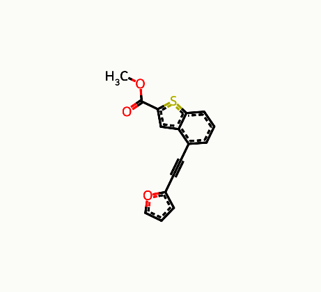 COC(=O)c1cc2c(C#Cc3ccco3)cccc2s1